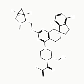 C=C(F)C(=O)N1CCN(c2nc(OC[C@@H]3[C@H]4C[C@H]4CN3C)nc3c2CC[C@@]2(CCc4c(Cl)cccc42)[C@H]3F)C[C@@H]1CC#N